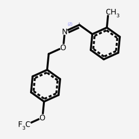 Cc1ccccc1/[C]=N\OCc1ccc(OC(F)(F)F)cc1